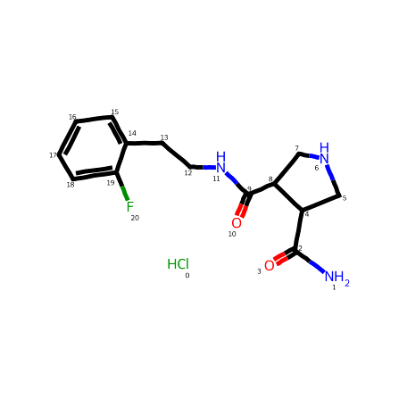 Cl.NC(=O)C1CNCC1C(=O)NCCc1ccccc1F